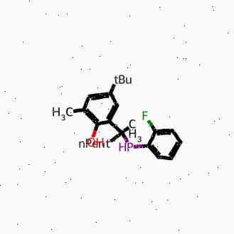 CCCCCC(C)(Pc1ccccc1F)c1cc(C(C)(C)C)cc(C)c1O